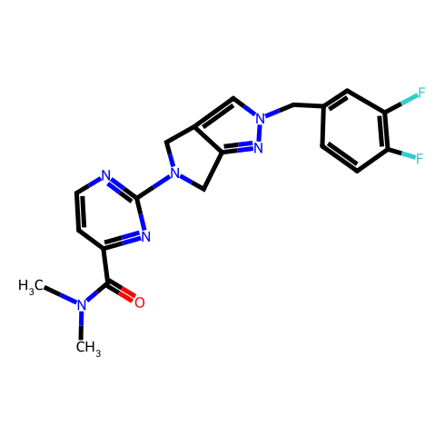 CN(C)C(=O)c1ccnc(N2Cc3cn(Cc4ccc(F)c(F)c4)nc3C2)n1